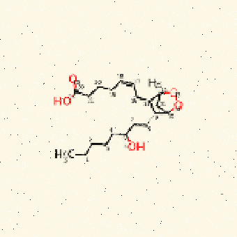 CCCCC[C@H](O)/C=C/[C@H]1C2C[C@H](OO2)[C@@H]1C/C=C\CCCC(=O)O